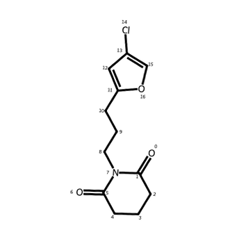 O=C1CCCC(=O)N1CCCc1cc(Cl)co1